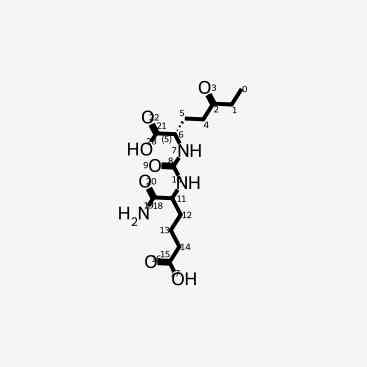 CCC(=O)CC[C@H](NC(=O)NC(CCCC(=O)O)C(N)=O)C(=O)O